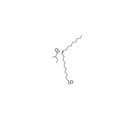 CCC(C)C1CO1.CCCCCCCC/C=C\CCCCCCCCC1CO1